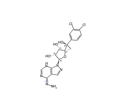 N/N=c1/nc[nH]c2c1cnn2[C@@H]1O[C@@]2(C[C@@]2(O)c2ccc(Cl)c(Cl)c2)[C@@H](O)[C@H]1O